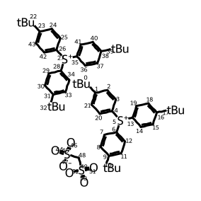 CC(C)(C)c1ccc([S+](c2ccc(C(C)(C)C)cc2)c2ccc(C(C)(C)C)cc2)cc1.CC(C)(C)c1ccc([S+](c2ccc(C(C)(C)C)cc2)c2ccc(C(C)(C)C)cc2)cc1.O=S(=O)([O-])CS(=O)(=O)[O-]